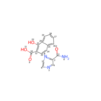 NC(=O)c1cnccn1.O=C(O)c1ccc2ccccc2c1O